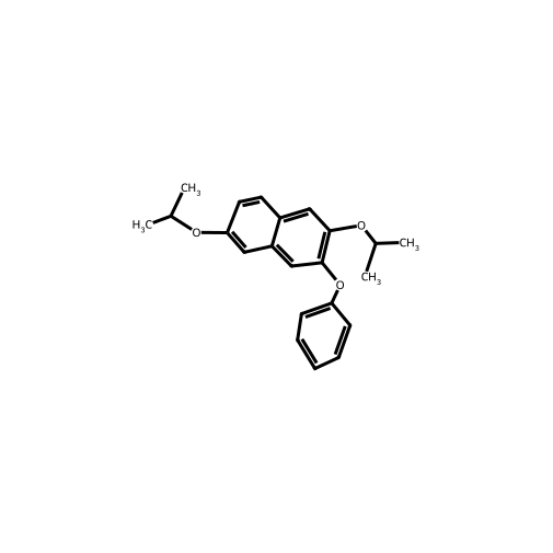 CC(C)Oc1ccc2cc(OC(C)C)c(Oc3ccccc3)cc2c1